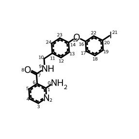 Nc1ncccc1C(=O)NCc1ccc(Oc2cccc(I)c2)cc1